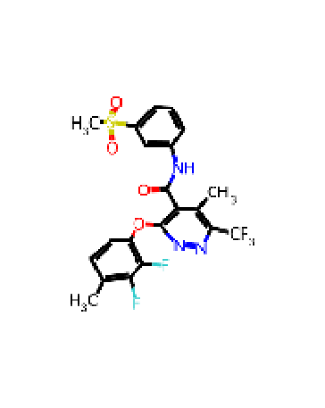 Cc1ccc(Oc2nnc(C(F)(F)F)c(C)c2C(=O)Nc2cccc(S(C)(=O)=O)c2)c(F)c1F